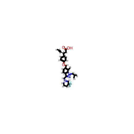 CC#C[C@@H](CC(=O)O)c1ccc(OCc2ccc3c(CN4CCCC(F)(F)C4)nn(CC(C)C)c3c2C)cc1